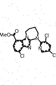 COC(=O)c1ccc(Cl)c2nc3n(c12)CCCCN3c1ncc(Cl)cc1Cl